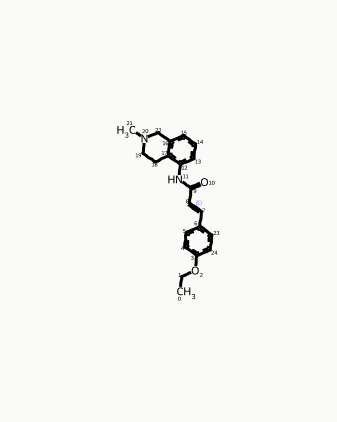 CCOc1ccc(/C=C/C(=O)Nc2cccc3c2CCN(C)C3)cc1